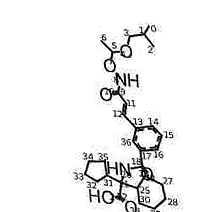 CC(C)COC(C)ONC(=O)C=Cc1cccc(C(=O)N[C@](C(=O)O)(C2CCCCC2)C2CCCC2)c1